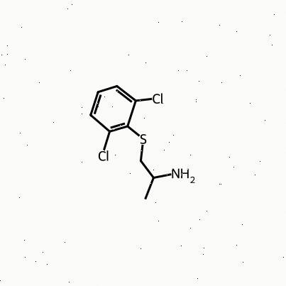 CC(N)CSc1c(Cl)cccc1Cl